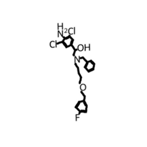 Nc1c(Cl)cc(C(O)CN(CCCCCOCCc2ccc(F)cc2)Cc2ccccc2)cc1Cl